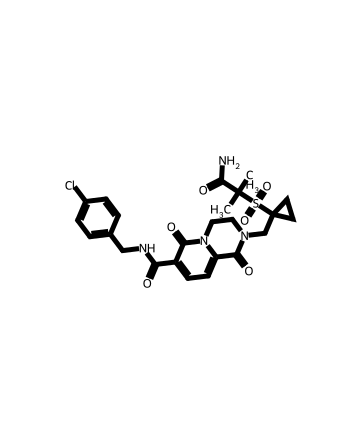 CC(C)(C(N)=O)S(=O)(=O)C1(CN2CCn3c(ccc(C(=O)NCc4ccc(Cl)cc4)c3=O)C2=O)CC1